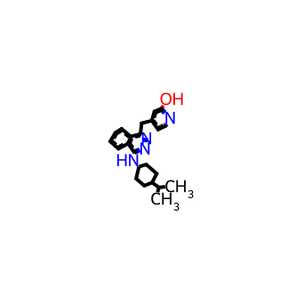 CC(C)C1CCC(Nc2nnc(Cc3ccnc(O)c3)c3ccccc23)CC1